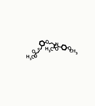 COC(=O)CSCc1cccc(OCCc2nc(-c3ccc(OC)cc3)oc2C)c1